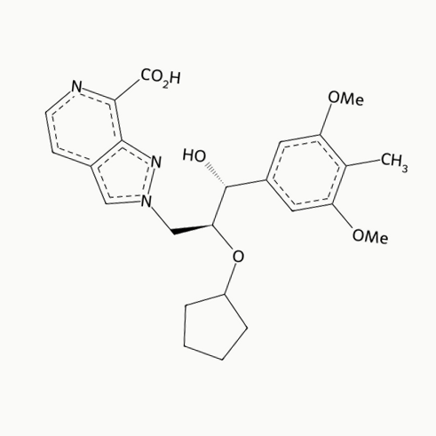 COc1cc([C@@H](O)[C@H](Cn2cc3ccnc(C(=O)O)c3n2)OC2CCCC2)cc(OC)c1C